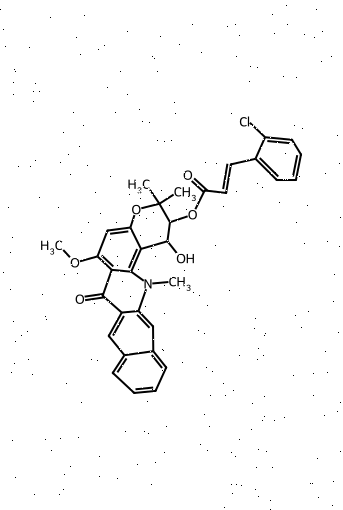 COc1cc2c(c3c1c(=O)c1cc4ccccc4cc1n3C)C(O)C(OC(=O)/C=C/c1ccccc1Cl)C(C)(C)O2